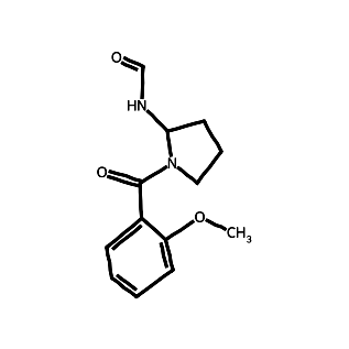 COc1ccccc1C(=O)N1CCCC1NC=O